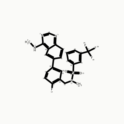 CNc1ncnc2ccc(-c3ccc(F)c(CN(C)S(=O)(=O)c4cccc(C(F)(F)F)c4)c3)cc12